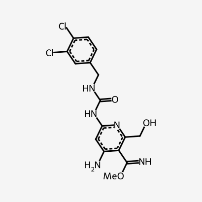 COC(=N)c1c(N)cc(NC(=O)NCc2ccc(Cl)c(Cl)c2)nc1CO